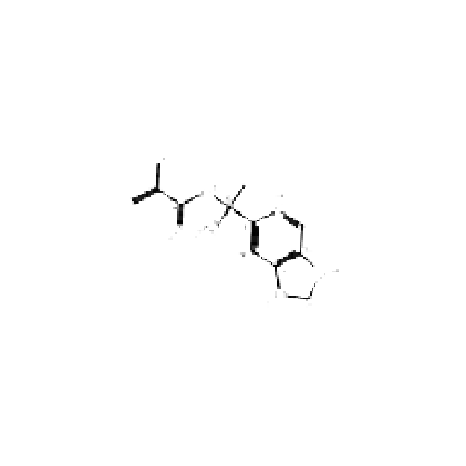 C=C(C)C(=O)OC(C)(CCC)c1cc2c(cn1)OCO2